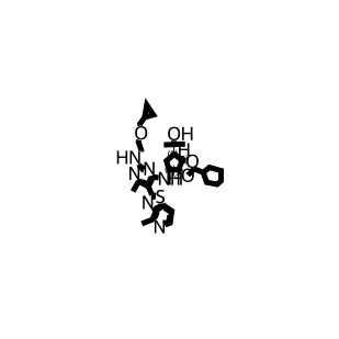 Cc1nc(NCCOCC2CC2)nc(N[C@@H]2C[C@H](C(C)(C)O)[C@H]3OC(C4CCCCC4)O[C@H]32)c1-c1nc2c(C)nccc2s1